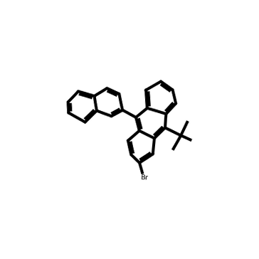 CC(C)(C)c1c2ccccc2c(-c2ccc3ccccc3c2)c2ccc(Br)cc12